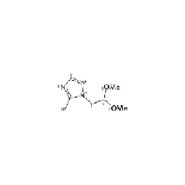 COC(Cn1ccnc1C)OC